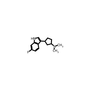 CN(C)C1CCC(c2c[nH]c3cc(F)ccc23)C1